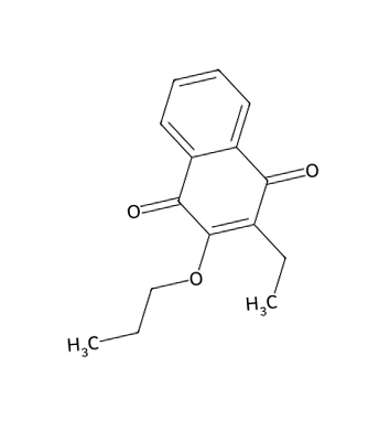 CCCOC1=C(CC)C(=O)c2ccccc2C1=O